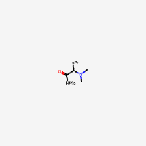 CCCC(C(=O)NC)N(C)C